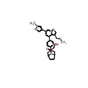 C=NCc1cnn2cc(-c3cnn(C)c3)cc(-c3ccc(N4CC5CCC(C4)N5C(=O)CC(C)(C)C)nc3)c12